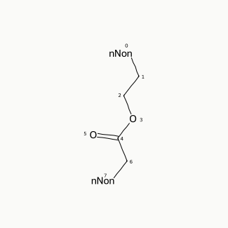 CCCCCCCCCCCOC(=O)CCCCCCCCCC